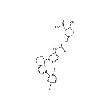 CN1CCN(CCC(=O)Nc2cc(N3CCOc4cnc(-c5cc(Cl)ccc5F)cc43)ccn2)CC1C(=O)O